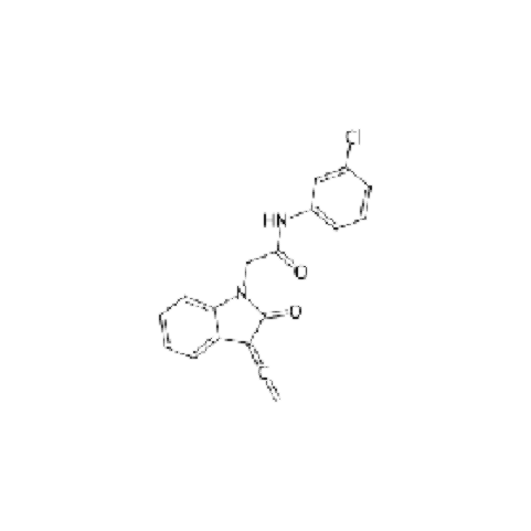 C=C=C1C(=O)N(CC(=O)Nc2cccc(Cl)c2)c2ccccc21